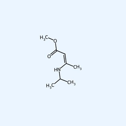 COC(=O)C=C(C)NC(C)C